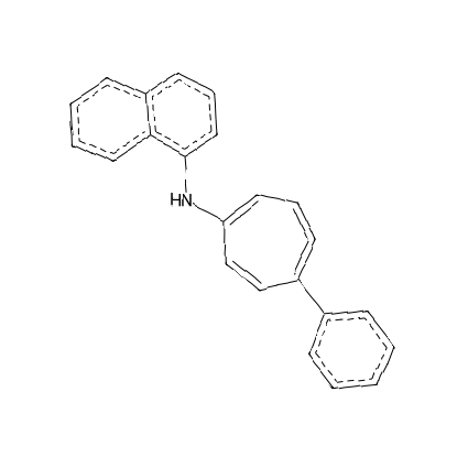 C1=CC=C(Nc2cccc3ccccc23)C=CC=1c1ccccc1